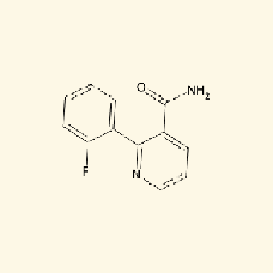 NC(=O)c1cccnc1-c1ccccc1F